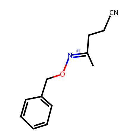 C/C(CCC#N)=N\OCc1ccccc1